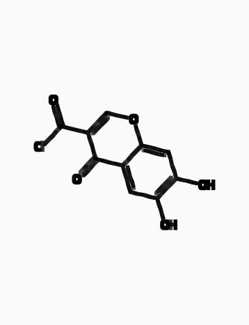 O=C(Cl)c1coc2cc(O)c(O)cc2c1=O